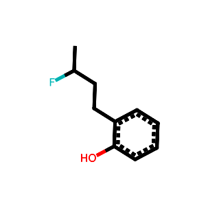 CC(F)CCc1ccccc1O